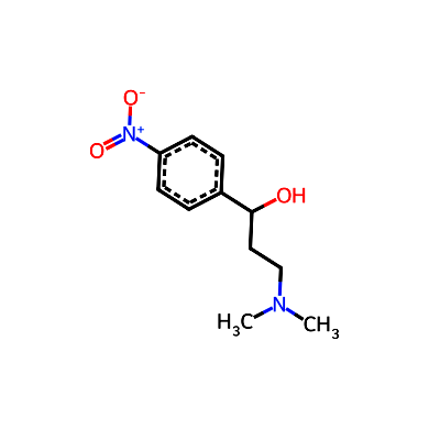 CN(C)CCC(O)c1ccc([N+](=O)[O-])cc1